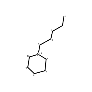 CCCC[CH]N1CCCCC1